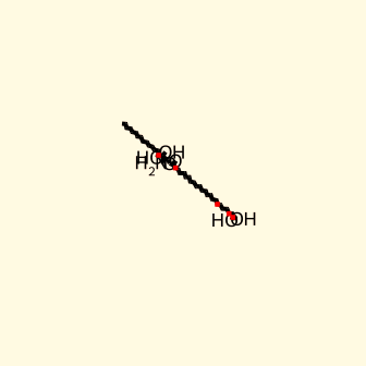 CCCCCCCCCCCCCCC(O)C(O)C(N)COC(=O)CCCCCCCCCCCCCCCCCCCCCCC(O)O